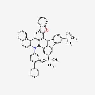 CC(C)(C)c1ccc2c(c1)-c1cc(C(C)(C)C)cc3c1C2c1c2c(cc4c1oc1ccccc14)-c1c(ccc4ccccc14)N(c1ccc(-c4ccccc4)cc1)B32